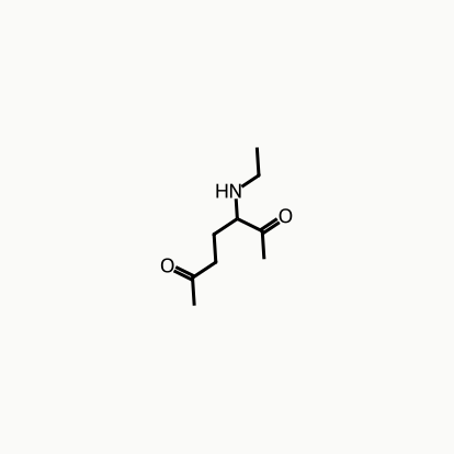 CCNC(CCC(C)=O)C(C)=O